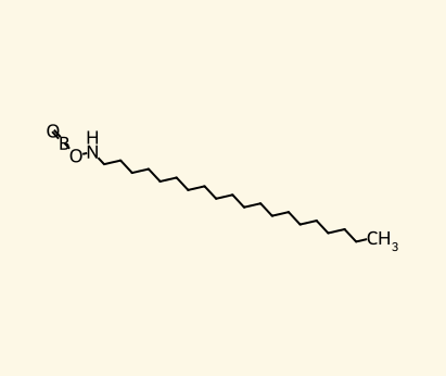 CCCCCCCCCCCCCCCCCCCCNOB=O